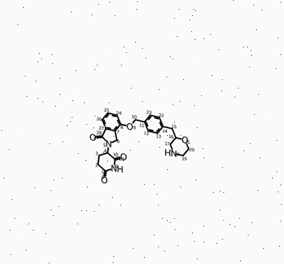 O=C1CCC(N2Cc3c(OCc4ccc(CC5CNCCO5)cc4)cccc3C2=O)C(=O)N1